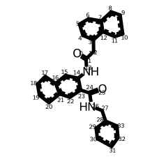 O=C([CH]c1cccc2ccccc12)Nc1cc2ccccc2cc1C(=O)NCc1ccccc1